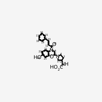 O=C(O)NC1CCN(C(=O)CN(C(=O)C=Cc2ccccc2)c2ccc(O)cc2)C1